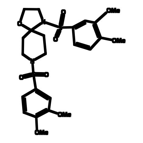 COc1ccc(S(=O)(=O)N2CCC3(CC2)OCCN3S(=O)(=O)c2ccc(OC)c(OC)c2)cc1OC